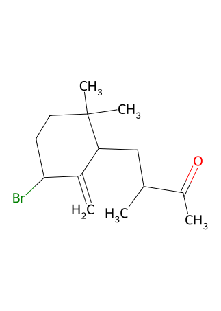 C=C1C(Br)CCC(C)(C)C1CC(C)C(C)=O